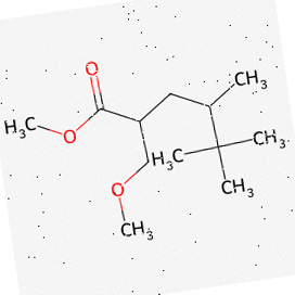 COCC(CC(C)C(C)(C)C)C(=O)OC